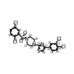 O=S(=O)(c1cc(Cl)ccc1Cl)N1CCN(c2nc(-c3ccc(Cl)c(Cl)c3)cs2)CC1